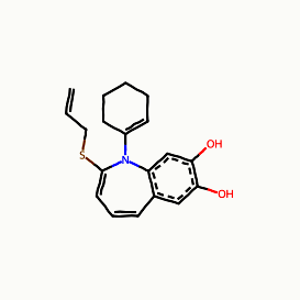 C=CCSC1=CC=Cc2cc(O)c(O)cc2N1C1=CCCCC1